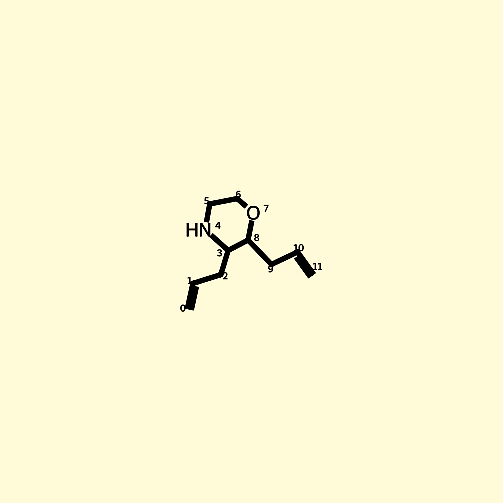 C=CCC1NCCOC1CC=C